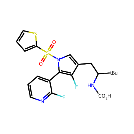 CC(C)(C)C(Cc1cn(S(=O)(=O)c2cccs2)c(-c2cccnc2F)c1F)NC(=O)O